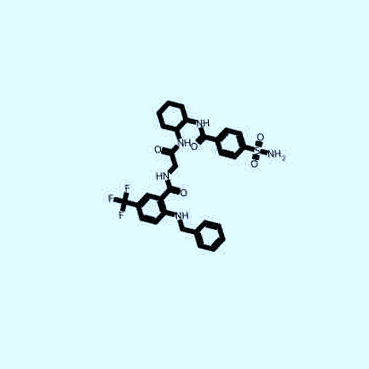 NS(=O)(=O)c1ccc(C(=O)NC2CCCCC2NC(=O)CNC(=O)c2cc(C(F)(F)F)ccc2NCc2ccccc2)cc1